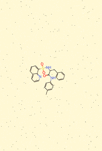 Cc1ccc(NC(=O)C(Cc2ccccc2)NS(=O)(=O)c2cccc3cccnc23)cc1